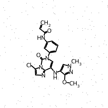 C=CC(=O)Nc1cccc(-n2cc(Nc3cn(C)nc3OC)c3ncc(Cl)n3c2=O)c1